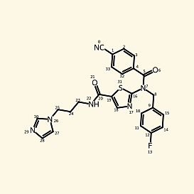 N#Cc1ccc(C(=O)N(Cc2ccc(F)cc2)c2ncc(C(=O)NCCCn3ccnc3)s2)cc1